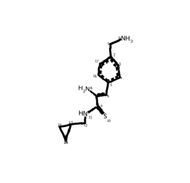 NCc1ccc(C=C(N)C(=S)NCC2CC2)cc1